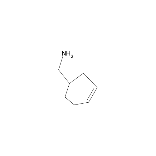 NCC1CC=CCC1